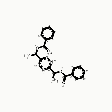 CC(OC(=O)c1ccccc1)c1nnc(C(C)OC(=O)c2ccccc2)nn1